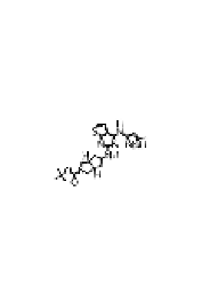 Cc1cc(Nc2nc(NC3C[C@@H]4CN(C(=O)OC(C)(C)C)C[C@@H]4C3)nc3sccc23)n[nH]1